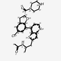 CC(=O)NC(C)Cc1cc2nccc(-c3cc(Cl)cc4c3O[C@@H](C(=O)N3CCNCC3)C4)c2s1